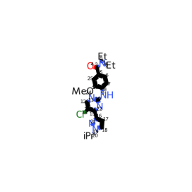 CCN(CC)C(=O)c1ccc(Nc2ncc(Cl)c(-c3ccn(C(C)C)n3)n2)c(OC)c1